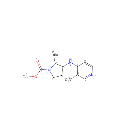 CC(C)(C)OC(=O)N1CCC(Nc2ccncc2[N+](=O)[O-])C1C(C)(C)C